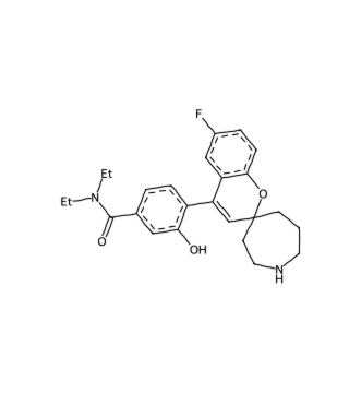 CCN(CC)C(=O)c1ccc(C2=CC3(CCCNCC3)Oc3ccc(F)cc32)c(O)c1